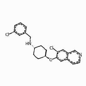 Clc1cccc(CN[C@H]2CC[C@H](Oc3cc4ccncc4cc3Cl)CC2)c1